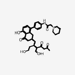 CC(=O)CC(=O)C(CO)C(CCO)CC1CC(=O)c2c(O)ccc(-c3ccc(NC(=O)CN4CCCCC4)cc3)c2C1